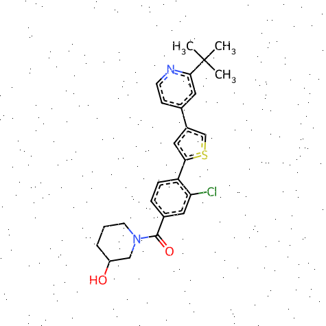 CC(C)(C)c1cc(-c2csc(-c3ccc(C(=O)N4CCCC(O)C4)cc3Cl)c2)ccn1